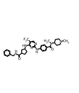 CN1CCC(N(C)C(=O)c2ccc(Nc3ncc(C(F)(F)F)c(NC4CCC(C(=O)NCc5ccccc5)C4)n3)cc2)CC1